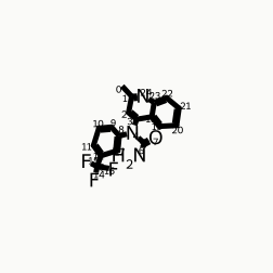 Cc1cc(N(C(N)=O)c2cccc(C(F)(F)F)c2)c2ccccc2n1